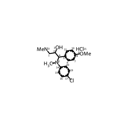 CNCC(O)C(c1ccc(OC)cc1)N(C)c1ccc(Cl)cc1.Cl